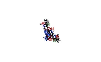 COc1nc2ccc(C(O)(c3ccc(Cc4cc(C(O)(c5cnnn5C)c5cnc(C)n5C)cc5c(Cl)c(C6CCCC6)c(OC)nc45)nc3C)c3cnnn3C)cc2c(Cl)c1C1CCCC1